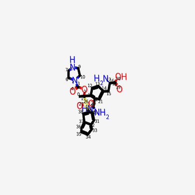 CC(OC(=O)N1CCNCC1)(c1ccc(C[C@H](N)C(=O)O)cc1C(=N)N)S(=O)(=O)c1ccc2ccccc2c1